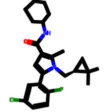 Cc1c(C(=O)NC2CCCCC2)cc(-c2cc(Cl)ccc2F)n1C[C@H]1CC1(C)C